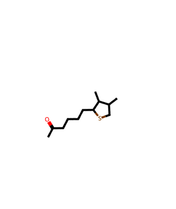 CC(=O)CCCCC1SCC(C)C1C